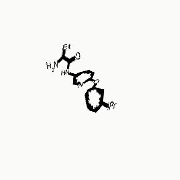 CCC(N)C(=O)Nc1ccc(Oc2cccc(C(C)C)c2)nc1